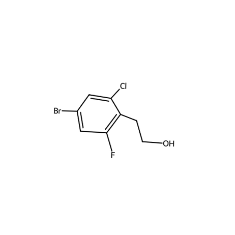 OCCc1c(F)cc(Br)cc1Cl